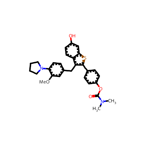 COc1cc(Cc2c(-c3ccc(OC(=O)N(C)C)cc3)sc3cc(O)ccc23)ccc1N1CCCC1